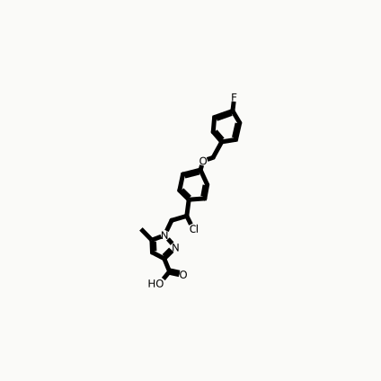 Cc1cc(C(=O)O)nn1CC(Cl)c1ccc(OCc2ccc(F)cc2)cc1